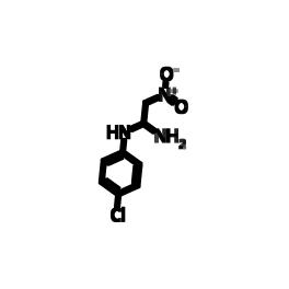 NC(C[N+](=O)[O-])Nc1ccc(Cl)cc1